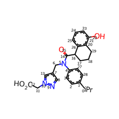 CC(C)c1ccc(N(Cc2cnn(CC(=O)O)c2)C(=O)C2CCCc3c(O)cccc32)cc1